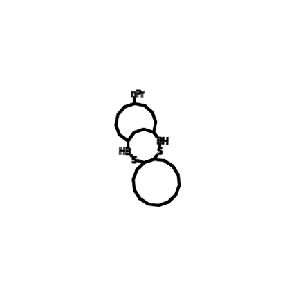 CCCC1CCCCC2BSC3CCCCCCCCCCCCC3SBC(CCC1)CC2